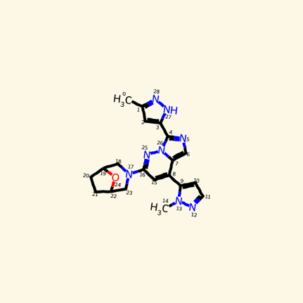 Cc1cc(-c2ncc3c(-c4ccnn4C)cc(N4CC5CCC(C4)O5)nn23)[nH]n1